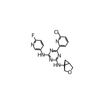 Fc1ccc(Nc2nc(NC34C5COC3C54)nc(-c3cccc(Cl)n3)n2)cn1